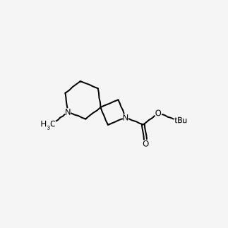 CN1CCCC2(C1)CN(C(=O)OC(C)(C)C)C2